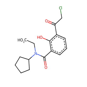 O=C(O)CN(C(=O)c1cccc(C(=O)CCl)c1O)C1CCCC1